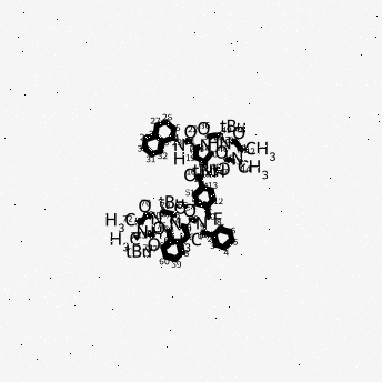 C[C@H](c1ccccc1F)N(Cc1ccc(C(=O)N[C@H]2C[C@@H](C(=O)N[C@@H]3CCCc4ccccc43)N(C(=O)[C@@H](NC(=O)[C@H](C)N(C)C(=O)OC(C)(C)C)C(C)(C)C)C2)cc1)C(=O)[C@@H]1Cc2ccccc2CN1C(=O)[C@@H](NC(=O)[C@H](C)N(C)C(=O)OC(C)(C)C)C(C)(C)C